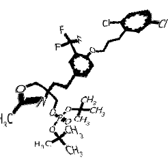 CC1=NC(CCc2ccc(OCCCc3cc(Cl)ccc3Cl)c(C(F)(F)F)c2)(COP(=O)(OC(C)(C)C)OC(C)(C)C)CO1